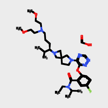 CCN(C(=O)c1cc(F)ccc1Oc1nncnc1N1CCC2(C1)CN([C@H](CCCN(CCOC)CCOC)C(C)C)C2)C(C)C.O=CO